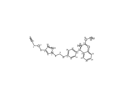 C#CCOCc1cn(CCCc2ccc([C@@H](NC(=O)OC(C)(C)C)c3ccccc3)cc2)nn1